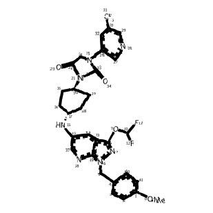 COc1ccc(Cn2nc(OC(F)F)c3cc(N[C@H]4CC[C@H](N5C(=O)CN(c6cncc(C(F)(F)F)c6)C5=O)CC4)cnc32)cc1